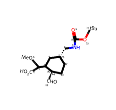 COC(C(=O)O)C1C[C@H](CNC(=O)OC(C)(C)C)CC[C@H]1C=O